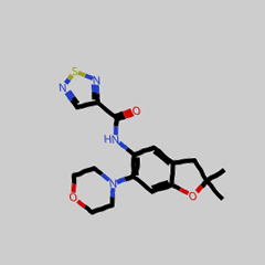 CC1(C)Cc2cc(NC(=O)c3cnsn3)c(N3CCOCC3)cc2O1